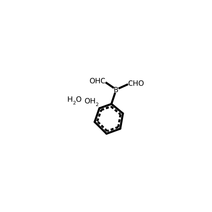 O.O.O=CB(C=O)c1ccccc1